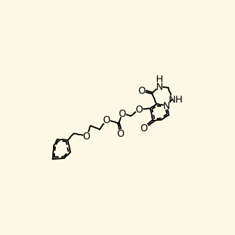 O=C(OCCOCc1ccccc1)OCOc1c2n(ccc1=O)NCNC2=O